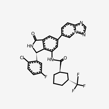 O=C1N[C@@H](c2cc(F)ccc2Cl)c2c(NC(=O)[C@@H]3CCC[C@@H](C(F)(F)F)C3)cc(-c3ccc4ncnn4c3)cc21